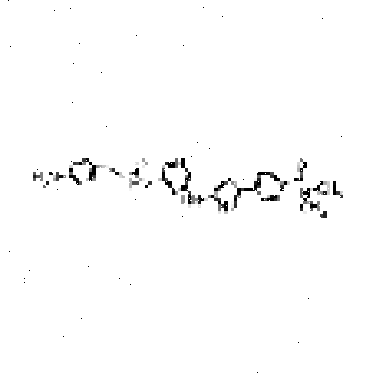 CN(C)C(=O)c1ccc(-c2ccc(Nc3cncc(NC(=O)CCc4ccc(N)cc4)c3)nc2)cc1